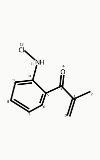 C=C(C)C(=O)c1ccccc1NCl